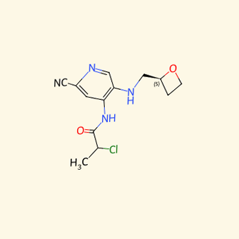 CC(Cl)C(=O)Nc1cc(C#N)ncc1NC[C@@H]1CCO1